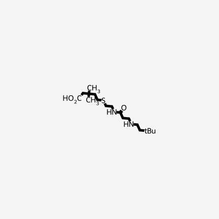 CC(C)(C)CCNCCC(=O)NCCSCCC(C)(C)CC(=O)O